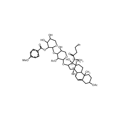 COc1ccc(C(=O)OC2C(OC3C(O)COC(OC4C[C@@]5(N)C6CC=C7CC(OC(C)=O)CCC7(C)C6CCC5(C)[C@@]4(O)[C@H](C)C(=O)CCC(C)C)C3OC(C)=O)OCC(O)C2O)cc1